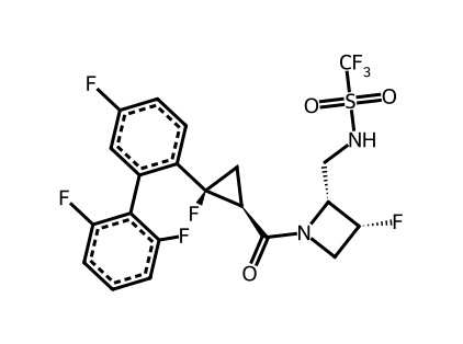 O=C([C@@H]1C[C@@]1(F)c1ccc(F)cc1-c1c(F)cccc1F)N1C[C@@H](F)[C@H]1CNS(=O)(=O)C(F)(F)F